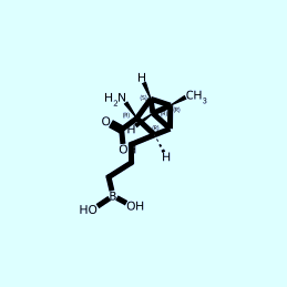 C[C@]12C3[C@@H](CCCB(O)O)[C@](N)(C(=O)O)[C@H]1[C@@H]32